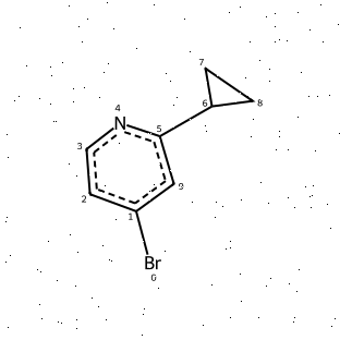 Brc1ccnc(C2CC2)c1